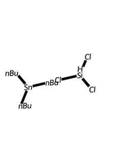 CCC[CH2][Sn]([CH2]CCC)[CH2]CCC.Cl[SiH](Cl)Cl